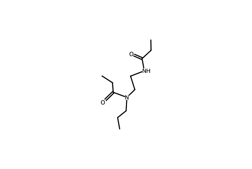 CCCN(CCNC(=O)CC)C(=O)CC